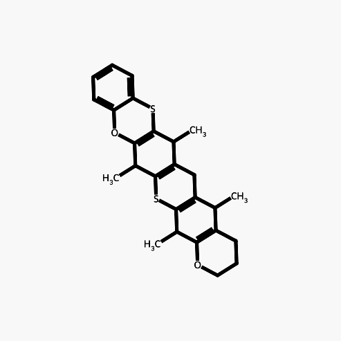 CC1C2=C(OCCC2)C(C)C2=C1CC1=C(S2)C(C)C2=C(Sc3ccccc3O2)C1C